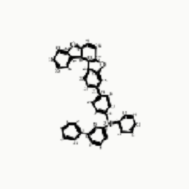 c1ccc(-c2cccc(N(c3ccccc3)c3ccc(-c4ccc5c(c4)oc4ccc6oc7ccccc7c6c45)cc3)c2)cc1